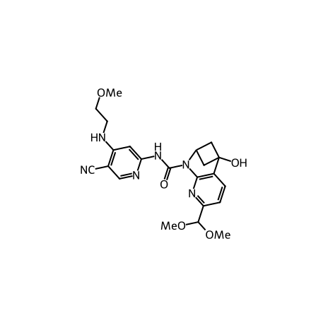 COCCNc1cc(NC(=O)N2c3nc(C(OC)OC)ccc3C3(O)CC2C3)ncc1C#N